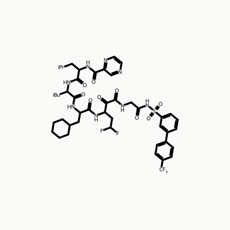 CCC(C)C(NC(=O)C(CC(C)C)NC(=O)c1cnccn1)C(=O)NC(CC1CCCCC1)C(=O)NC(CC(F)F)C(=O)C(=O)NCC(=O)NS(=O)(=O)c1cccc(-c2ccc(C(F)(F)F)cc2)c1